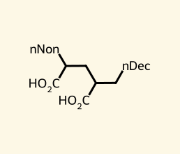 CCCCCCCCCCCC(CC(CCCCCCCCC)C(=O)O)C(=O)O